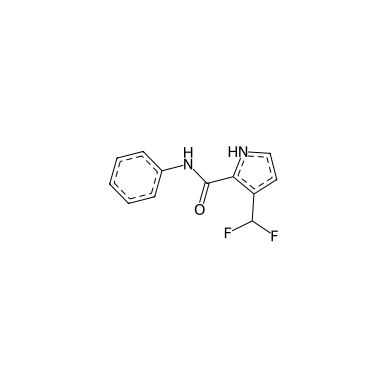 O=C(Nc1ccccc1)c1[nH]ccc1C(F)F